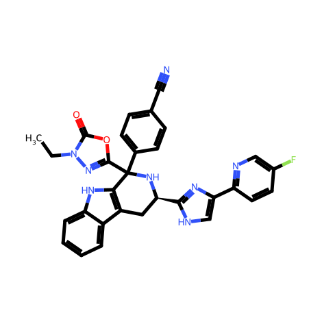 CCn1nc(C2(c3ccc(C#N)cc3)N[C@@H](c3nc(-c4ccc(F)cn4)c[nH]3)Cc3c2[nH]c2ccccc32)oc1=O